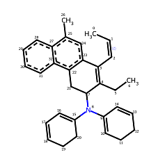 C/C=C\C1=C(CC)C(N(C2=CCCC=C2)C2=CC=CCC2)Cc2c1cc(C)c1ccccc21